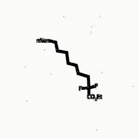 CCCCCCCCCCCCCCCCC(F)(F)C(=O)OCC